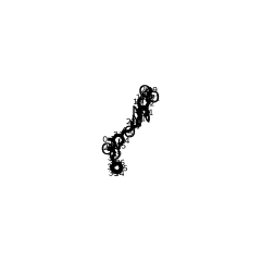 CC1CC(COC2CN(c3ncc4c(n3)CCN(S(C)(=O)=O)C4)C2)CCN1C(=O)OCc1ccccc1